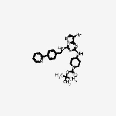 CC(C)(C)OC(=O)N1CCC(Nc2nc(NCc3ccc(-c4ccccn4)cc3)n3ncc(Br)c3n2)CC1